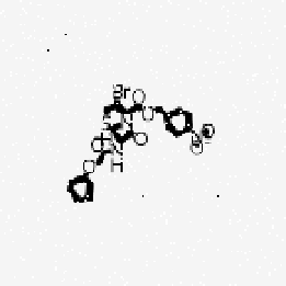 O=C(COc1ccccc1)N[C@@H]1C(=O)N2C(C(=O)OCc3ccc([N+](=O)[O-])cc3)=C(Br)CS[C@H]12